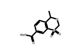 COC(=O)c1ccc2c(c1)S(=O)(=O)COC2C